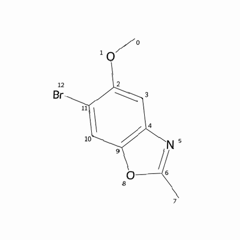 COc1cc2nc(C)oc2cc1Br